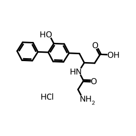 Cl.NCC(=O)NC(CC(=O)O)Cc1ccc(-c2ccccc2)c(O)c1